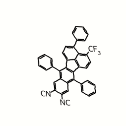 [C-]#[N+]c1cc2c(-c3ccccc3)c3c(c(-c4ccccc4)c2cc1[N+]#[C-])-c1ccc(C(F)(F)F)c2c(-c4ccccc4)ccc-3c12